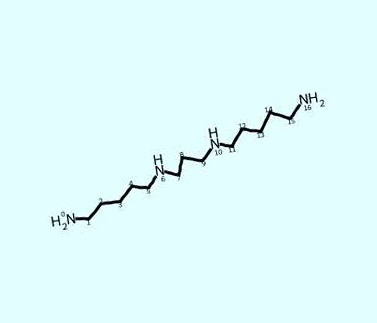 NCCCCCNCCCNCCCCCN